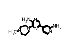 CN1CCCN(c2nc(-c3ccnc(N)c3)cnc2N)CC1